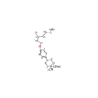 CCCCCCCCCCC1(C#N)CCC(c2ccc(OCCC(C)CCCC(C)C)cc2)CC1